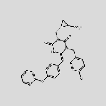 O=C(O)[C@@H]1C[C@H]1Cn1c(=O)[nH]/c(=N\c2ccc(Oc3ccccn3)cc2)n(Cc2ccc(Cl)cc2)c1=O